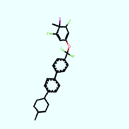 CC1CCC(c2ccc(-c3ccc(C(F)(F)OC4=CC(F)C(C)(I)C(F)=C4)cc3)cc2)CC1